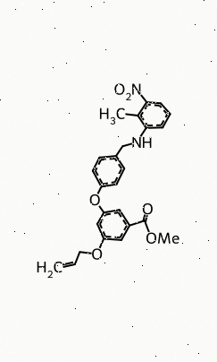 C=CCOc1cc(Oc2ccc(CNc3cccc([N+](=O)[O-])c3C)cc2)cc(C(=O)OC)c1